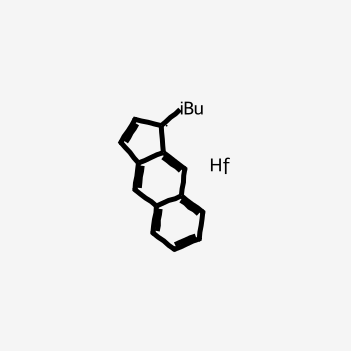 CCC(C)[C]1C=Cc2cc3ccccc3cc21.[Hf]